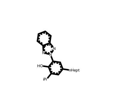 CCCCCCCc1cc(C(C)C)c(O)c(-n2nc3ccccc3n2)c1